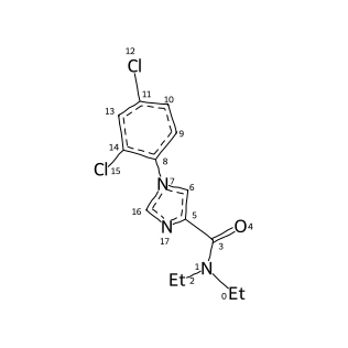 CCN(CC)C(=O)c1cn(-c2ccc(Cl)cc2Cl)cn1